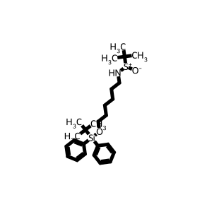 CC(C)(C)[S+]([O-])NCCCCCCO[Si](c1ccccc1)(c1ccccc1)C(C)(C)C